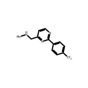 CC(C)(C)NCc1ccnc(-c2ccc(C(F)(F)F)cc2)n1